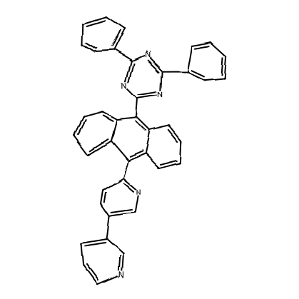 c1ccc(-c2nc(-c3ccccc3)nc(-c3c4ccccc4c(-c4ccc(-c5cccnc5)cn4)c4ccccc34)n2)cc1